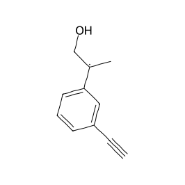 C#Cc1cccc([C](C)CO)c1